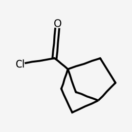 O=C(Cl)C12CCC(CC1)C2